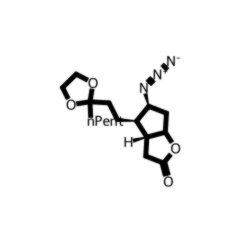 CCCCCC1(CC[C@H]2[C@@H](N=[N+]=[N-])CC3OC(=O)C[C@@H]32)OCCO1